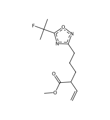 C=CC(CCCc1noc(C(C)(C)F)n1)C(=O)OC